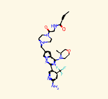 CC#CC(=O)NCC(=O)N1CCN(Cc2cc3c(N4CCOC[C@@H]4C)nc(-c4cnc(N)cc4C(F)(F)F)nn3c2)CC1